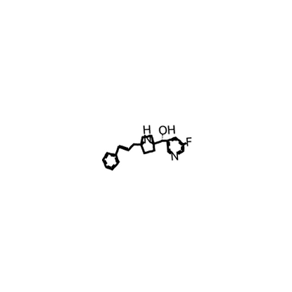 O[C@H](c1cncc(F)c1)C12CCC(CC=Cc3ccccc3)(CC1)N2